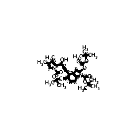 Cc1cn(C(=O)OC(C)(C)C)c(C(O)C#Cc2c(F)ccc3c2cc(OC(=O)OC(C)(C)C)n3C(=O)OC(C)(C)C)c1C